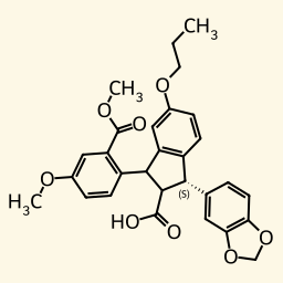 CCCOc1ccc2c(c1)C(c1ccc(OC)cc1C(=O)OC)C(C(=O)O)[C@H]2c1ccc2c(c1)OCO2